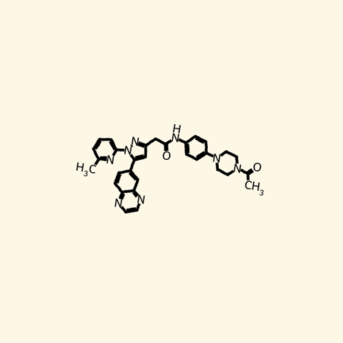 CC(=O)N1CCN(c2ccc(NC(=O)Cc3cc(-c4ccc5nccnc5c4)n(-c4cccc(C)n4)n3)cc2)CC1